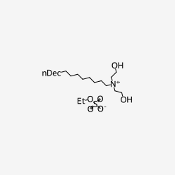 CCCCCCCCCCCCCCCCCC[N+](C)(CCO)CCO.CCOS(=O)(=O)[O-]